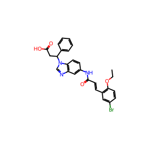 CCOc1ccc(Br)cc1C=CC(=O)Nc1ccc2c(c1)ncn2C(CC(=O)O)c1ccccc1